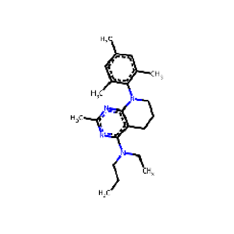 CCCN(CC)c1nc(C)nc2c1CCCN2c1c(C)cc(C)cc1C